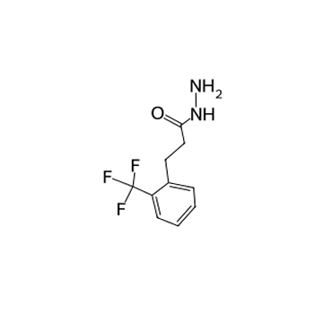 NNC(=O)CCc1ccccc1C(F)(F)F